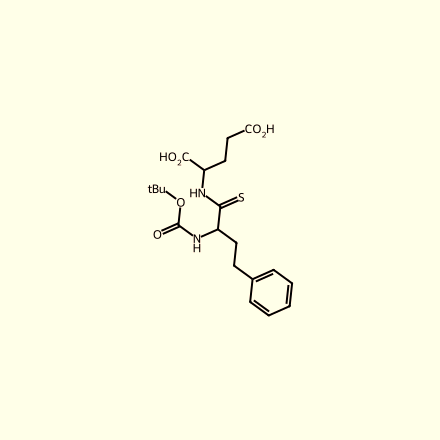 CC(C)(C)OC(=O)NC(CCc1ccccc1)C(=S)NC(CCC(=O)O)C(=O)O